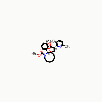 COc1ccc(C(F)(F)F)nc1[C@@H]1CC2(CCCCCCN(C(=O)OC(C)(C)C)[C@H]2c2ccccc2)OC1=O